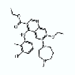 CCOC(=O)c1cnc2cc(OCC)c(N3CCCN(C)CC3)cc2c1Nc1cccc(Cl)c1C